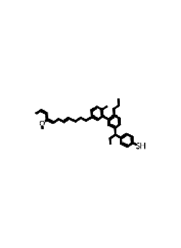 C/C=C\C(=C/C/C=C/CCCc1ccc(C)c(-c2cc(C(CC)c3ccc(S)cc3)ccc2CCC)c1)OC